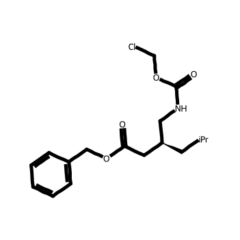 CC(C)C[C@H](CNC(=O)OCCl)CC(=O)OCc1ccccc1